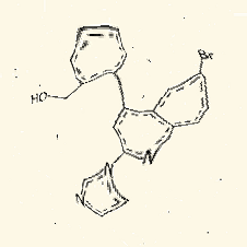 OCc1ccccc1-c1cc(-n2ccnc2)nc2ccc(Br)cc12